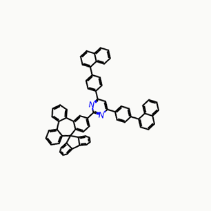 c1ccc2c(c1)-c1ccccc1C1(c3ccc(-c4nc(-c5ccc(-c6cccc7ccccc67)cc5)cc(-c5ccc(-c6cccc7ccccc67)cc5)n4)cc3-2)c2ccccc2-c2ccccc21